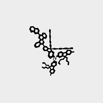 C#CC#CC#CC#CC1(C#CC#CC#CC#C)c2cc(-c3cc4c5ccccc5c(-c5ccc6ccccc6c5)cc4c4ccccc34)ccc2-c2ccc(N(c3ccc4c(c3)C(CCCC)(CCCC)c3cc(C)ccc3-4)c3ccc4c(c3)C(CCCC)(CCCC)c3cc(C)ccc3-4)cc21